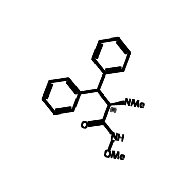 CN[C@@H](C(=O)NOC)C(c1ccccc1)c1ccccc1